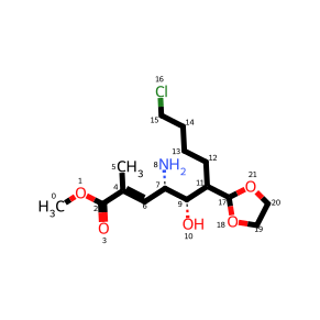 COC(=O)/C(C)=C/[C@H](N)[C@@H](O)C(CCCCCl)C1OCCO1